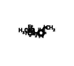 C=Cc1cccc([SiH2]OC(C)(C)CC)c1